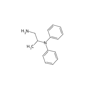 CC(CN)N(c1ccccc1)c1ccccc1